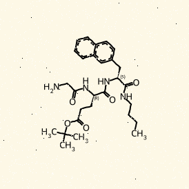 CCCCNC(=O)[C@H](Cc1ccc2ccccc2c1)NC(=O)[C@@H](CCC(=O)OC(C)(C)C)NC(=O)CN